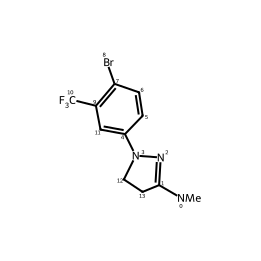 CNC1=NN(c2ccc(Br)c(C(F)(F)F)c2)CC1